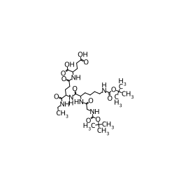 CCNC(=O)C(CCC(=O)NC(CCC(=O)O)C(=O)O)NC(=O)C(CCCCNC(=O)OC(C)(C)C)NC(=O)CNC(=O)OC(C)(C)C